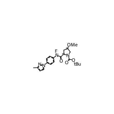 CO[C@@H]1C[C@H](C(=O)N(F)c2ccc(-n3ccc(C)n3)cc2)N(C(=O)OC(C)(C)C)C1